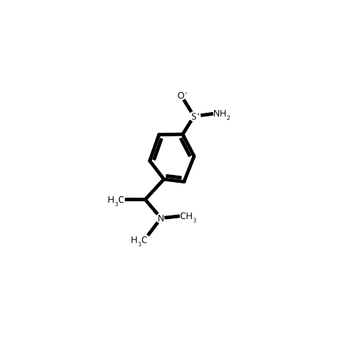 CC(c1ccc([S+](N)[O-])cc1)N(C)C